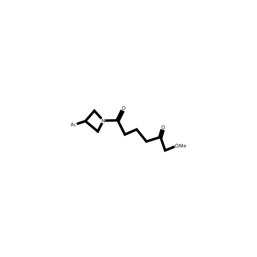 COCC(=O)CCCC(=O)N1CC(C(C)=O)C1